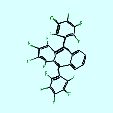 Fc1c(F)c(F)c(-c2c3ccccc3c(-c3c(F)c(F)c(F)c(F)c3F)c3c(F)c(F)c(F)c(F)c23)c(F)c1F